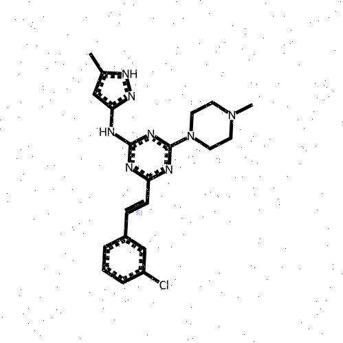 Cc1cc(Nc2nc(/C=C/c3cccc(Cl)c3)nc(N3CCN(C)CC3)n2)n[nH]1